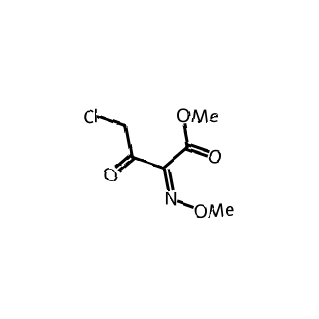 CO/N=C(/C(=O)CCl)C(=O)OC